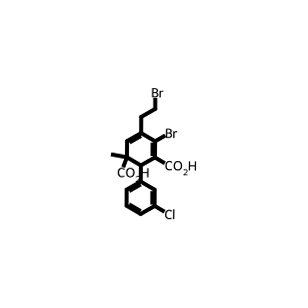 CC1(C(=O)O)C=C(CCBr)C(Br)=C(C(=O)O)C1c1cccc(Cl)c1